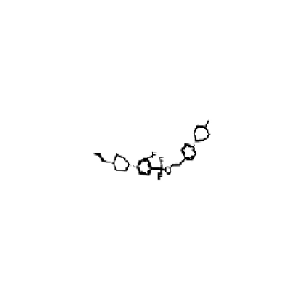 C/C=C/[C@H]1CC[C@H](c2ccc(C(F)(F)OCCc3ccc([C@H]4CC[C@H](C)CC4)cc3)c(F)c2)CC1